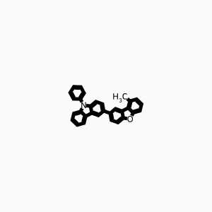 Cc1cccc2oc3ccc(-c4ccc5c(c4)c4ccccc4n5-c4ccccc4)cc3c12